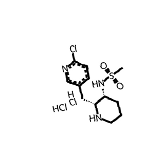 CS(=O)(=O)N[C@@H]1CCCN[C@@H]1Cc1ccc(Cl)nc1.Cl.Cl